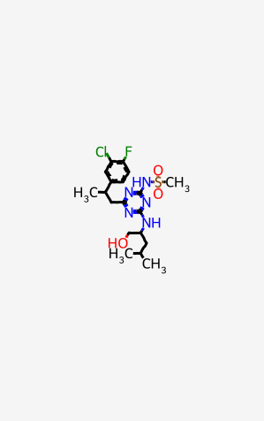 CC(C)CC(CO)Nc1nc(CC(C)c2ccc(F)c(Cl)c2)nc(NS(C)(=O)=O)n1